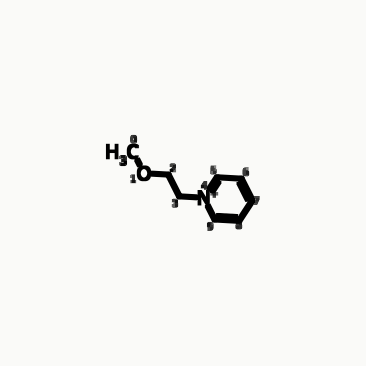 COCC[n+]1ccccc1